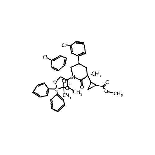 CC[C@@H](CO[Si](c1ccccc1)(c1ccccc1)C(C)(C)C)N1C(=O)[C@](C)(C2CC2C(=O)OC)C[C@H](c2cccc(Cl)c2)[C@H]1c1ccc(Cl)cc1